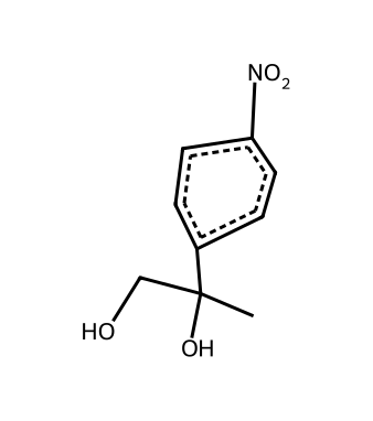 CC(O)(CO)c1ccc([N+](=O)[O-])cc1